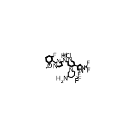 COc1cccc(F)c1-c1nccc(Nc2cc(N3C[C@@H](N)C[C@@H](C(F)(F)F)C3)c(-c3cnn(C(F)F)c3)cn2)n1.Cl